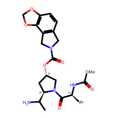 COC(=O)N[C@H](C(=O)N1C[C@@H](OC(=O)N2Cc3ccc4c(c3C2)OCO4)C[C@@H]1C(C)N)C(C)C